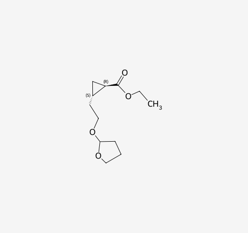 CCOC(=O)[C@@H]1C[C@H]1CCOC1CCCO1